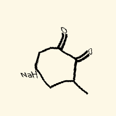 CC1CCCC(=O)C1=O.[NaH]